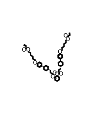 C=CC(=O)OCCCCCCOc1ccc([C@H]2CC[C@H](CCC(=O)O[C@@H]3CCCC[C@H]3OC(=O)CC[C@H]3CC[C@H](c4ccc(OCCCCCCOC(=O)C=C)cc4)CC3)CC2)cc1